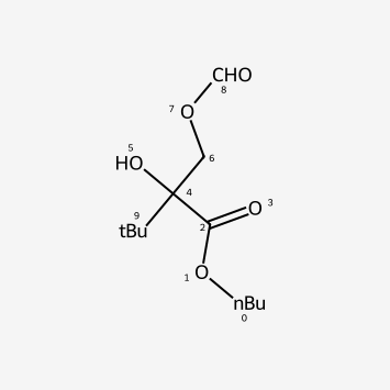 CCCCOC(=O)C(O)(COC=O)C(C)(C)C